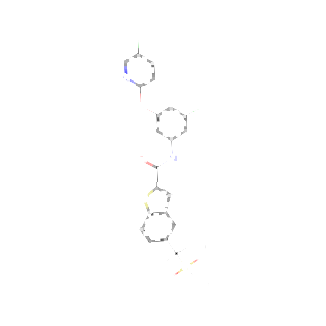 CC(C)(c1ccc2sc(C(=O)Nc3cc(Cl)cc(Oc4ccc(Cl)cn4)c3)cc2c1)S(C)(=O)=O